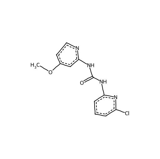 COc1ccnc(NC(=O)Nc2cccc(Cl)n2)c1